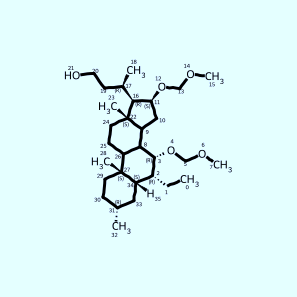 CC[C@H]1[C@@H](OCOC)C2C3C[C@H](OCOC)[C@H]([C@H](C)CCO)[C@@]3(C)CCC2[C@@]2(C)CC[C@@H](C)C[C@@H]12